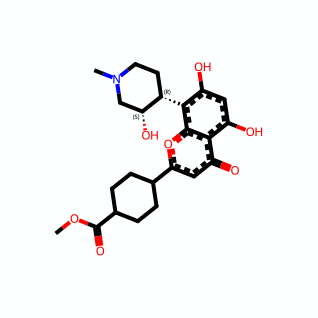 COC(=O)C1CCC(c2cc(=O)c3c(O)cc(O)c([C@H]4CCN(C)C[C@H]4O)c3o2)CC1